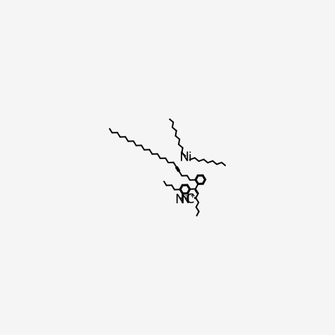 CCCCCCCCCCCCCCCCCC#CCCCc1ccccc1C(=CC(=C=[N+]=[N-])CCCC)c1ccc(CCCC)cc1.CCCCCCCC[CH2][Ni][CH2]CCCCCCCC